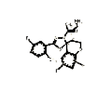 CC(=O)N1N=C(c2cc(F)ccc2C)S[C@@]12c1cc(F)cc(F)c1OC[C@H]2CCN